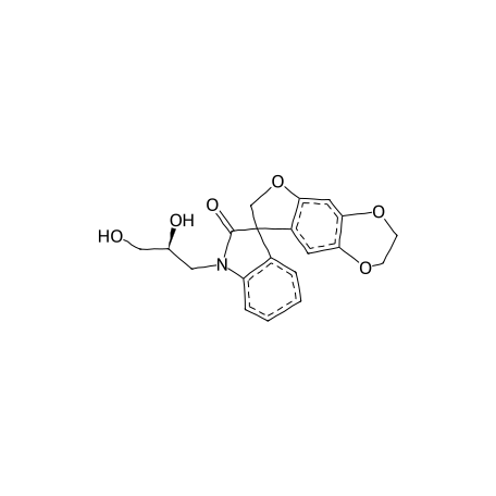 O=C1N(C[C@H](O)CO)c2ccccc2C12COc1cc3c(cc12)OCCO3